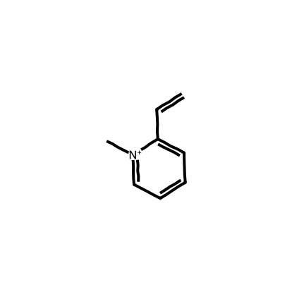 C=Cc1cccc[n+]1C